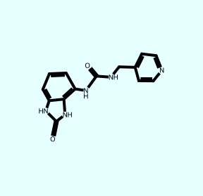 O=C(NCc1ccncc1)Nc1cccc2[nH]c(=O)[nH]c12